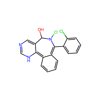 OC1C2=CN=CNC2=c2ccccc2=C(c2ccccc2Cl)N1Cl